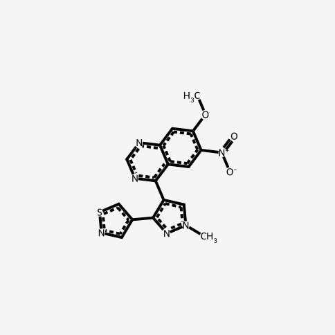 COc1cc2ncnc(-c3cn(C)nc3-c3cnsc3)c2cc1[N+](=O)[O-]